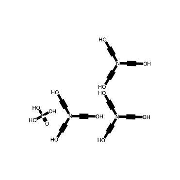 O=P(O)(O)O.OC#CN(C#CO)C#CO.OC#CN(C#CO)C#CO.OC#CN(C#CO)C#CO